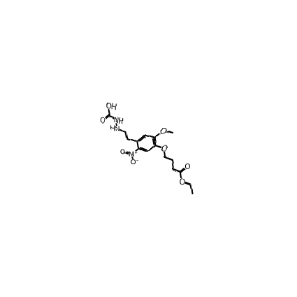 CCOC(=O)CCCOc1cc([N+](=O)[O-])c(CCNNC(=O)O)cc1OC